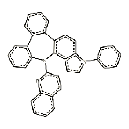 c1ccc(-n2ccc3c4c(ccc32)-c2ccccc2-c2ccccc2N4c2ccc3ccccc3n2)cc1